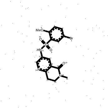 COc1ccc(Br)cc1S(=O)(=O)Nc1cnc2c(c1)C(=O)N(C)CC2